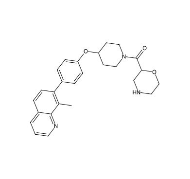 Cc1c(-c2ccc(OC3CCN(C(=O)C4CNCCO4)CC3)cc2)ccc2cccnc12